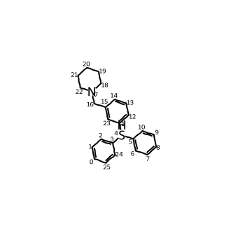 c1ccc([SH](c2ccccc2)c2cccc(CN3CCCCC3)c2)cc1